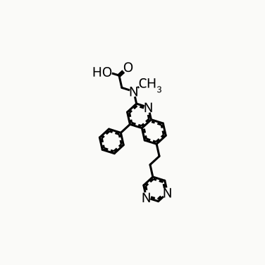 CN(CC(=O)O)c1cc(-c2ccccc2)c2cc(CCc3cncnc3)ccc2n1